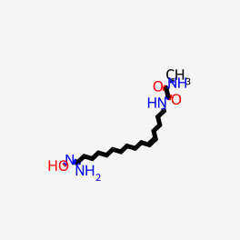 CNC(=O)C(=O)NCCCC/C=C\CCCCCCCCC/C(N)=N/O